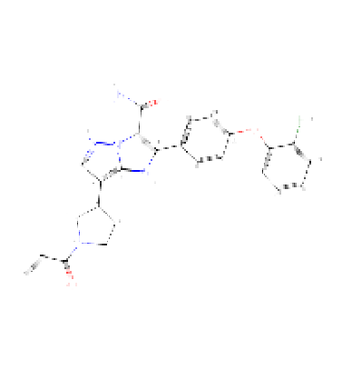 C=CC(=O)N1CCC(c2cnn3c(C(N)=O)c(-c4ccc(Oc5ccccc5F)cc4)[nH]c23)C1